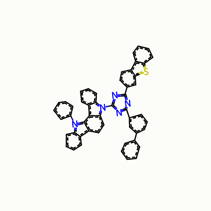 c1ccc(-c2cccc(-c3nc(-c4ccc5c(c4)sc4ccccc45)nc(-n4c5ccccc5c5c4ccc4c6ccccc6n(-c6ccccc6)c45)n3)c2)cc1